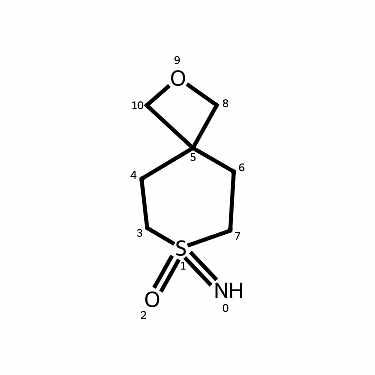 N=S1(=O)CCC2(CC1)COC2